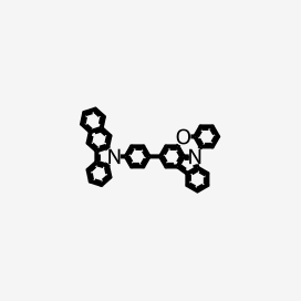 c1ccc2c(c1)Oc1cc(-c3ccc(-n4c5ccccc5c5cc6ccccc6cc54)cc3)cc3c4ccccc4n-2c13